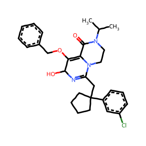 CC(C)N1CCN2C(CC3(c4cccc(Cl)c4)CCCC3)=NC(O)C(OCc3ccccc3)=C2C1=O